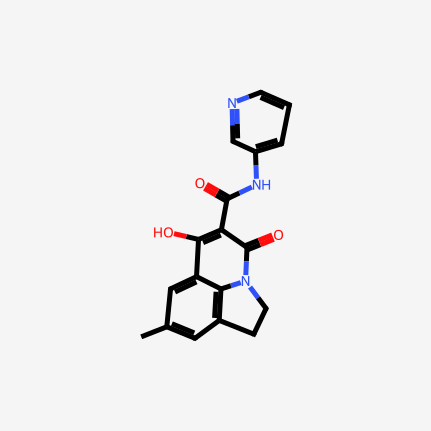 Cc1cc2c3c(c1)c(O)c(C(=O)Nc1cccnc1)c(=O)n3CC2